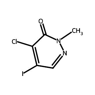 Cn1ncc(I)c(Cl)c1=O